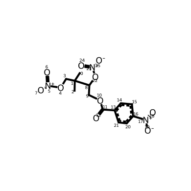 CC(C)(CO[N+](=O)[O-])C(COC(=O)c1ccc([N+](=O)[O-])cc1)O[N+](=O)[O-]